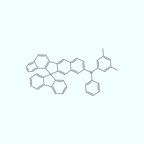 Cc1cc(C)cc(N(c2ccccc2)c2ccc3cc4c(cc3c2)C2(c3ccccc3-c3ccccc32)c2c-4ccc3ccccc23)c1